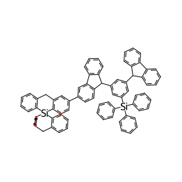 c1ccc([Si](c2ccccc2)(c2ccccc2)c2cc(C3c4ccccc4-c4ccccc43)cc(C3c4ccccc4-c4cc(-c5ccc6c(c5)Cc5ccccc5[Si]65c6ccccc6Cc6ccccc65)ccc43)c2)cc1